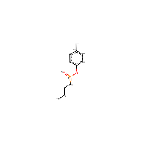 CCCC[PH](=O)Oc1ccc(C)cc1